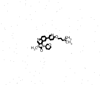 CN(C)CCCOc1ccc(-c2ccc3ncc4c(c3c2)n([C@@H]2CCCOC2)c(=O)n4C)cn1